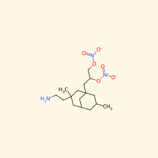 CC1CC2CC(C)(CCN)CC(CC(CO[N+](=O)[O-])O[N+](=O)[O-])(C1)C2